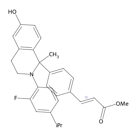 COC(=O)/C=C/c1ccc(C2(C)c3ccc(O)cc3CCN2c2ccc(C(C)C)cc2F)cc1